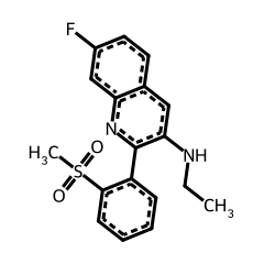 CCNc1cc2ccc(F)cc2nc1-c1ccccc1S(C)(=O)=O